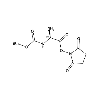 CC(C)(C)OC(=O)N[C@@H](N)C(=O)ON1C(=O)CCC1=O